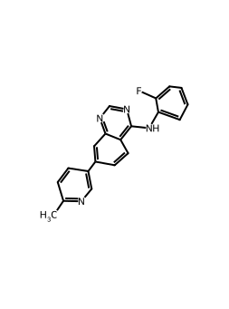 Cc1ccc(-c2ccc3c(Nc4ccccc4F)ncnc3c2)cn1